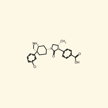 C[C@H]1CN([C@H]2CC[C@](CN)(c3cccc(Cl)c3)CC2)C(=O)N1c1ccc(C(=O)O)cc1